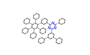 c1ccc(-c2cc(-c3ccccc3)cc(-c3nc(-c4ccccc4)nc(-c4cccc(-c5c(-c6ccccc6)c(-c6ccccc6)c(-c6ccccc6)c(-c6ccccc6)c5-c5ccccc5)c4)n3)c2)cc1